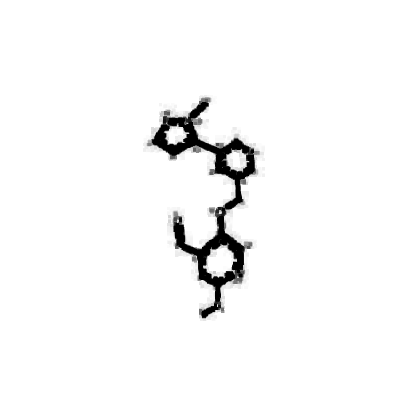 COc1cc(C=O)c(OCc2cncc(-c3ccnn3C)c2)cn1